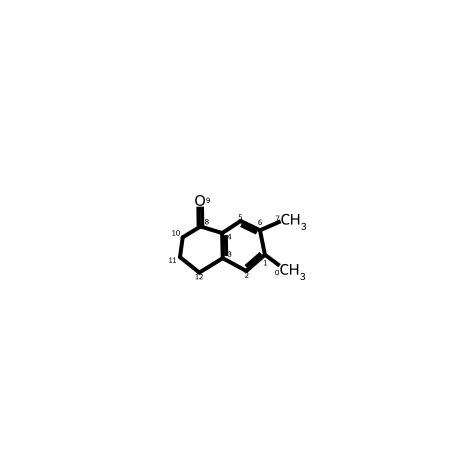 Cc1cc2c(cc1C)C(=O)CCC2